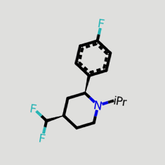 CC(C)N1CC[C@@H](C(F)F)C[C@H]1c1ccc(F)cc1